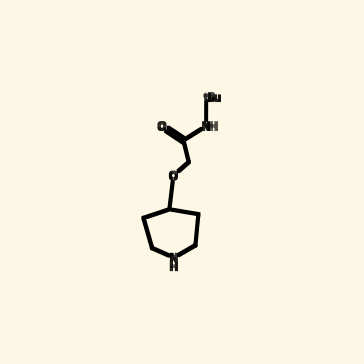 CC(C)(C)NC(=O)COC1CCNCC1